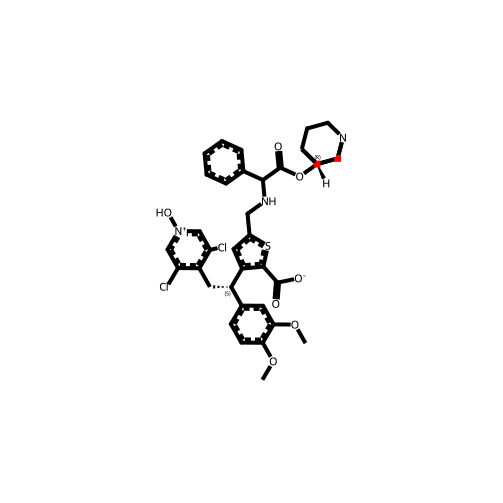 COc1ccc([C@H](Cc2c(Cl)c[n+](O)cc2Cl)c2cc(CNC(C(=O)O[C@H]3CN4CCC3CC4)c3ccccc3)sc2C(=O)[O-])cc1OC